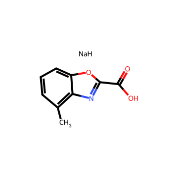 Cc1cccc2oc(C(=O)O)nc12.[NaH]